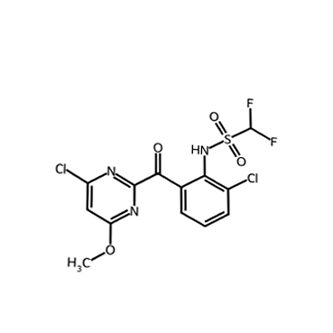 COc1cc(Cl)nc(C(=O)c2cccc(Cl)c2NS(=O)(=O)C(F)F)n1